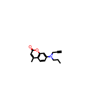 C#CCN(CCC)c1ccc2c(C)cc(=O)oc2c1